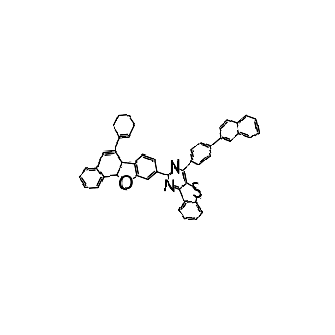 C1=C(C2=Cc3ccccc3C3Oc4cc(-c5nc(-c6ccc(-c7ccc8ccccc8c7)cc6)c6sc7ccccc7c6n5)ccc4C23)CCCC1